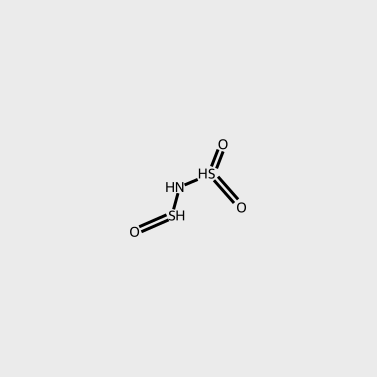 O=[SH]N[SH](=O)=O